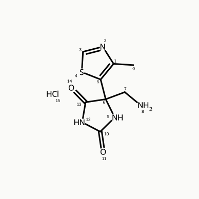 Cc1ncsc1C1(CN)NC(=O)NC1=O.Cl